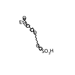 CCC1(COc2ccc(-c3ccc(OCCCCCCCCOc4ccc(S(=O)(=O)O)cc4)cc3)cc2)COC1